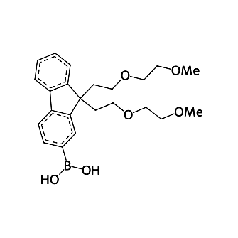 COCCOCCC1(CCOCCOC)c2ccccc2-c2ccc(B(O)O)cc21